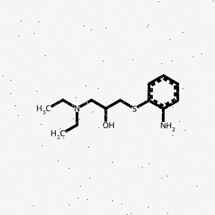 CCN(CC)CC(O)CSc1ccccc1N